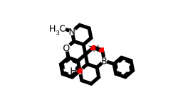 CN1CCCC2C1Oc1ccccc1C21C2=NCCCC2B(c2ccccc2)C2CCCNC21